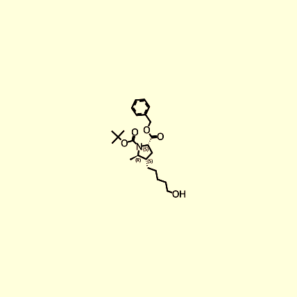 C[C@@H]1[C@@H](CCCCCO)C[C@@H](C(=O)OCc2ccccc2)N1C(=O)OC(C)(C)C